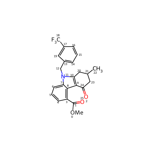 COC(=O)c1cccc2c1c1c(n2Cc2cccc(C(F)(F)F)c2)CC(C)CC1=O